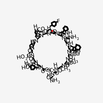 CCCC[C@H]1C(=O)N(C)[C@@H](CCCC)C(=O)N[C@@H](C)C(=O)N[C@H](C(=O)NCC(N)=O)CSCC(=O)N[C@@H](Cc2ccc(O)cc2)C(=O)N(C)[C@@H](C)C(=O)N[C@@H](CC(=O)O)C(=O)N2CCC[C@H]2C(=O)N[C@@H](Cc2c[nH]cn2)C(=O)N[C@@H](CCC(=O)O)C(=O)N2C[C@H](Cc3ccc(F)cc3)C[C@H]2C(=O)N[C@@H](Cc2c[nH]c3ccccc23)C(=O)N[C@@H](CCN)C(=O)N[C@@H](Cc2c[nH]c3ccccc23)C(=O)N1C